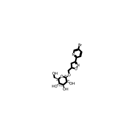 OC[C@H]1O[C@@H](OCC2CC(c3ccc(Br)cn3)=NO2)[C@H](O)[C@@H](O)[C@@H]1O